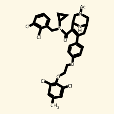 CC(=O)N1CC2CC(c3ccc(OCCOc4c(Cl)cc(C)cc4Cl)cc3)=C(C(=O)N(Cc3cccc(Cl)c3Cl)C3CC3)C(C1)N2